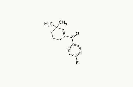 CC1(C)C=C(C(=O)c2ccc(F)cc2)CCC1